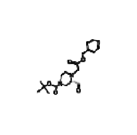 CC(C)(C)OC(=O)N1CCN(CC(=O)OCc2ccccc2)[C@H](C=O)C1